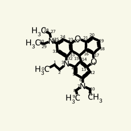 CCCN1c2cc(N(CC)CC)cc3c2C2c4c(cccc4Oc4cc(N(CC)CC)cc1c42)O3